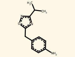 CC(C)c1noc(Cc2ccc(N)cc2)n1